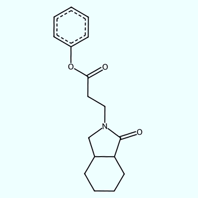 O=C(CCN1CC2CCCCC2C1=O)Oc1ccccc1